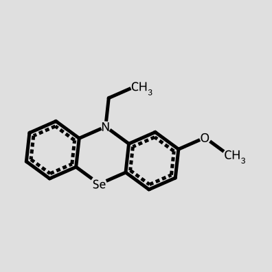 CCN1c2ccccc2[Se]c2ccc(OC)cc21